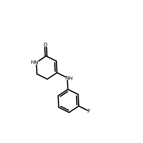 O=C1C=C(Nc2cccc(F)c2)CCN1